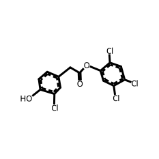 O=C(Cc1ccc(O)c(Cl)c1)Oc1cc(Cl)c(Cl)cc1Cl